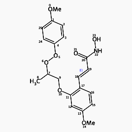 COc1ccc(OOC(C)COc2cc(OC)ccc2/C=C/C(=O)NO)cc1